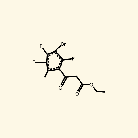 CCOC(=O)CC(=O)c1c(C)c(F)c(F)c(Br)c1F